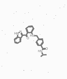 CC(C)NC(=O)c1ccc(CNc2ccccc2C(=O)c2n[nH]c3ccccc23)cc1